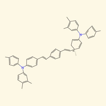 Cc1ccc(N(C2=CC[C@](C)(C=Cc3ccc(C=Cc4ccc(N(c5ccc(C)cc5)c5ccc(C)c(C)c5)cc4)cc3)C=C2)c2ccc(C)c(C)c2)cc1